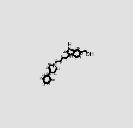 OCc1ccc2c(CCCCN3CC=C(c4ccccc4)CC3)c[nH]c2c1